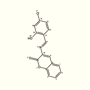 O=c1oc2ccccc2cc1N=Cc1ccc(Cl)cc1O